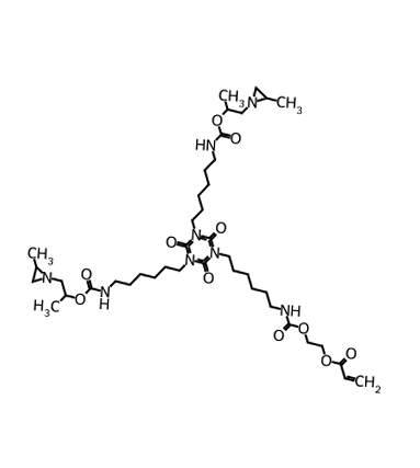 C=CC(=O)OCCOC(=O)NCCCCCCn1c(=O)n(CCCCCCNC(=O)OC(C)CN2CC2C)c(=O)n(CCCCCCNC(=O)OC(C)CN2CC2C)c1=O